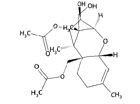 CC(=O)OC[C@]12CCC(C)=C[C@H]1O[C@@H]1[C@H](O)[C@@H](OC(C)=O)[C@@]2(C)[C@]1(C)CO